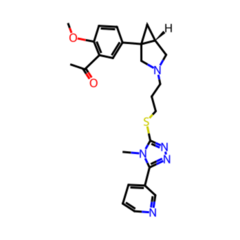 COc1ccc(C23C[C@@H]2CN(CCCSc2nnc(-c4cccnc4)n2C)C3)cc1C(C)=O